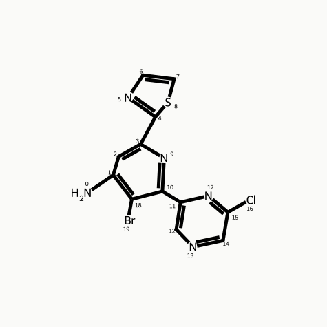 Nc1cc(-c2nccs2)nc(-c2cncc(Cl)n2)c1Br